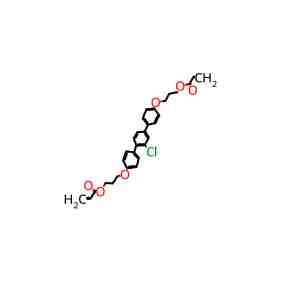 C=CC(=O)OCCCOc1ccc(-c2ccc(-c3ccc(OCCCOC(=O)C=C)cc3)c(Cl)c2)cc1